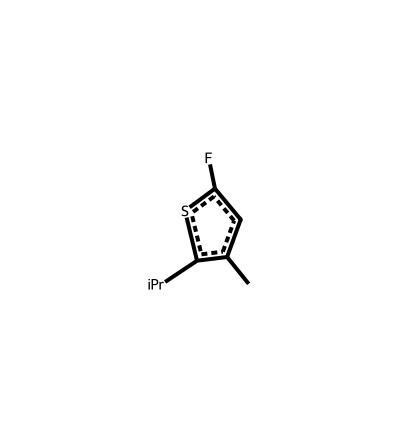 Cc1cc(F)sc1C(C)C